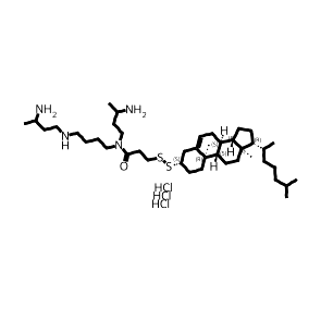 CC(C)CCCC(C)[C@H]1CC[C@H]2[C@@H]3CC=C4C[C@@H](SSCCC(=O)N(CCCCNCCC(C)N)CCC(C)N)CC[C@]4(C)[C@H]3CC[C@]12C.Cl.Cl.Cl